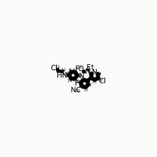 CCN1C(=O)N(c2c(F)cc(NCCCl)cc2F)c2cc(C#N)ccc2-c2cc(Cl)cnc21